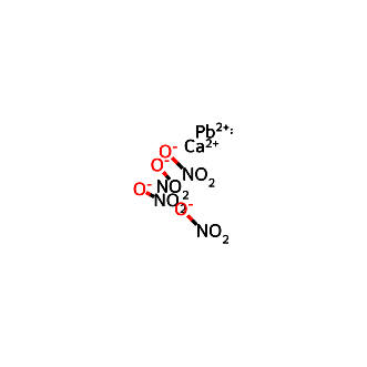 O=[N+]([O-])[O-].O=[N+]([O-])[O-].O=[N+]([O-])[O-].O=[N+]([O-])[O-].[Ca+2].[Pb+2]